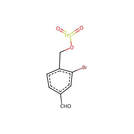 O=Cc1ccc(CO[SH](=O)=O)c(Br)c1